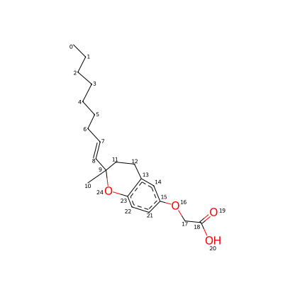 CCCCCCCC=CC1(C)CCc2cc(OCC(=O)O)ccc2O1